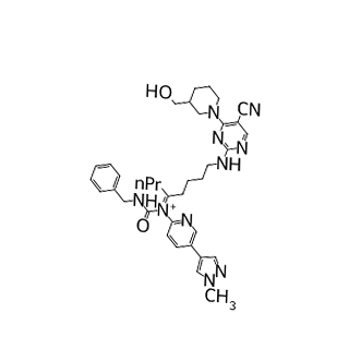 CCC/C(CCCCNc1ncc(C#N)c(N2CCCC(CO)C2)n1)=[N+](\C(=O)NCc1ccccc1)c1ccc(-c2cnn(C)c2)cn1